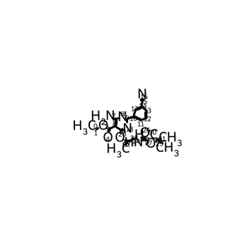 CCOC(=O)c1c(N)nc(-c2cccc(C#N)c2)nc1O[C@@H](C)CNC(=O)OC(C)(C)C